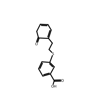 O=C1CC=CC=C1CCSc1cccc(C(=O)O)c1